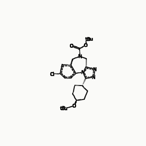 CC(C)(C)OC(=O)N1Cc2cc(Cl)ccc2-n2c(nnc2[C@H]2CC[C@H](OC(C)(C)C)CC2)C1